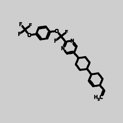 C=CC1C=CC(C2CCC(c3cnc(C(F)(F)Oc4ccc(OC(F)(F)F)cc4)nc3)CC2)CC1